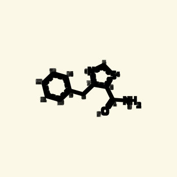 NC(=O)c1scnc1Cc1ccccc1